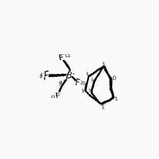 C1CC2CCC1CC2.F[B-](F)(F)F